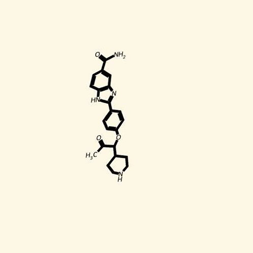 CC(=O)C(Oc1ccc(-c2nc3cc(C(N)=O)ccc3[nH]2)cc1)C1CCNCC1